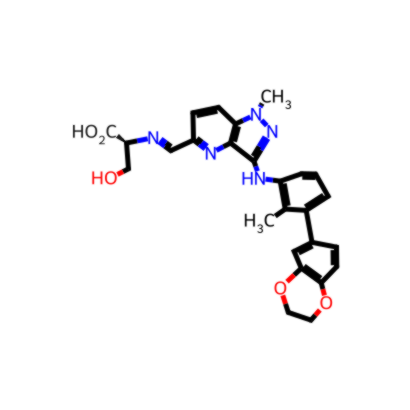 Cc1c(Nc2nn(C)c3ccc(C=N[C@@H](CO)C(=O)O)nc23)cccc1-c1ccc2c(c1)OCCO2